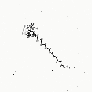 CCCCCCCCCCCCCCCC=CC(O)(P(=O)(O)O)P(=O)(O)O